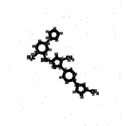 Cc1cn(-c2ccc(-c3nc(Nc4cc(-n5cccc5)ccc4C)sc3C)cc2)cn1